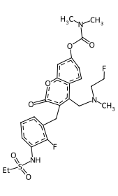 CCS(=O)(=O)Nc1cccc(Cc2c(CN(C)CCF)c3ccc(OC(=O)N(C)C)cc3oc2=O)c1F